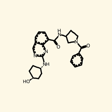 O=C(NC1CCN(C(=O)c2ccccc2)C1)c1cccc2cnc(N[C@H]3CC[C@H](O)CC3)nc12